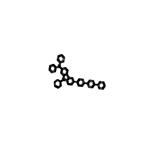 C1=CCCC(n2c3ccc(-c4ccc(-c5ccc(-c6ccccc6)cc5)cc4)cc3c3ccc(N(c4ccccc4)c4ccccc4)cc32)=C1